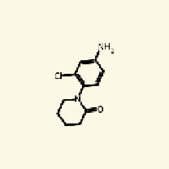 Nc1ccc(N2CCCCC2=O)c(Cl)c1